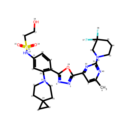 Cc1cc(-c2nnc(-c3ccc(NS(=O)(=O)CCO)cc3N3CCC4(CC3)CC4)o2)nc(N2CCCC(F)(F)C2)n1